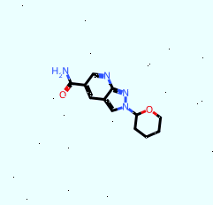 NC(=O)c1cnc2nn(C3CCCCO3)cc2c1